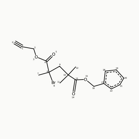 C#CCOC(=O)C(C)(Br)CC(C)(C)C(=O)OCc1ccccc1